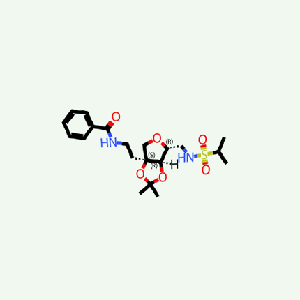 CC(C)S(=O)(=O)NC[C@H]1OC[C@]2(CCNC(=O)c3ccccc3)OC(C)(C)O[C@H]12